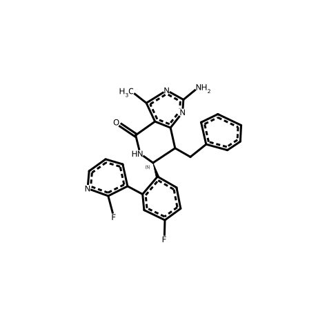 Cc1nc(N)nc2c1C(=O)N[C@H](c1ccc(F)cc1-c1cccnc1F)C2Cc1ccccc1